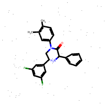 Cc1ccc(N(CCc2cc(F)cc(F)c2)C(=O)C(N)c2ccccc2)cc1C